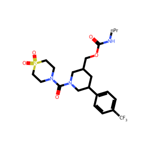 CCCNC(=O)OCC1CC(c2ccc(C(F)(F)F)cc2)CN(C(=O)N2CCS(=O)(=O)CC2)C1